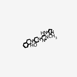 Cn1nccc1Nc1cc(N2CC[C@@H](N3CCc4ccccc4C3)[C@H](O)C2)ncn1